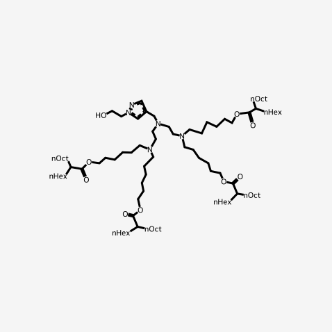 CCCCCCCCC(CCCCCC)C(=O)OCCCCCCN(CCCCCCOC(=O)C(CCCCCC)CCCCCCCC)CCN(CCN(CCCCCCOC(=O)C(CCCCCC)CCCCCCCC)CCCCCCOC(=O)C(CCCCCC)CCCCCCCC)Cc1cnn(CCO)c1